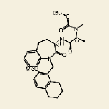 COc1ccc2c(c1CN1C(=O)[C@@H](NC(=O)[C@H](C)N(C)C(=O)OC(C)(C)C)CCc3ccccc31)CCCC2